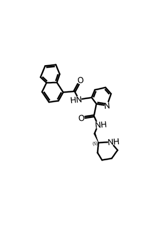 O=C(NC[C@@H]1CCCCN1)c1ncccc1NC(=O)c1cccc2ccccc12